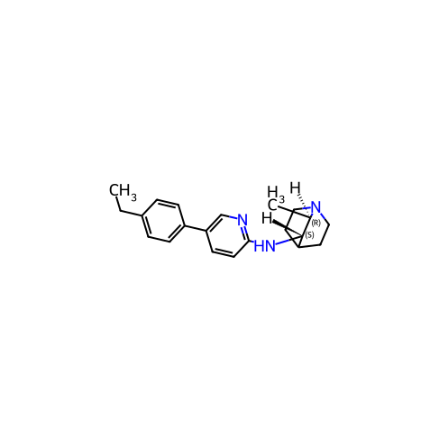 CCc1ccc(-c2ccc(N[C@H]3C4CCN(CC4)[C@@H]3C)nc2)cc1